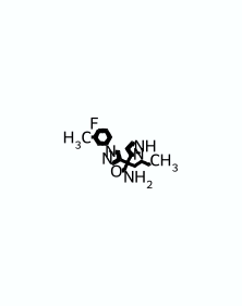 CCCCC(C(N)=O)(c1cnn(-c2ccc(F)c(C)c2)c1)c1cc[nH]n1